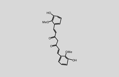 COc1c(O)cccc1C=CC(=O)CC(=O)C=Cc1cccc(O)c1OC